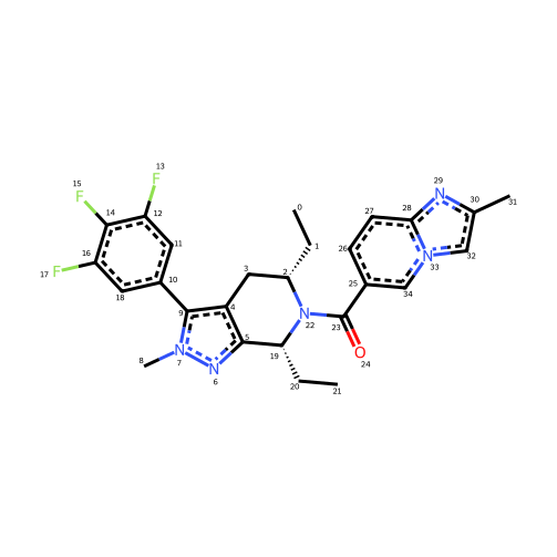 CC[C@H]1Cc2c(nn(C)c2-c2cc(F)c(F)c(F)c2)[C@@H](CC)N1C(=O)c1ccc2nc(C)cn2c1